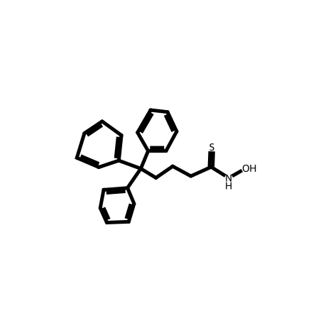 ONC(=S)CCCC(c1ccccc1)(c1ccccc1)c1ccccc1